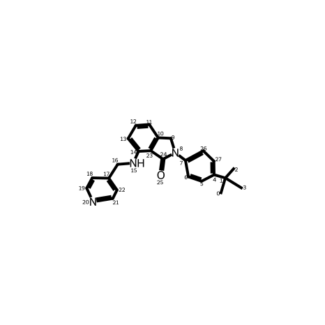 CC(C)(C)c1ccc(N2Cc3cccc(NCc4ccncc4)c3C2=O)cc1